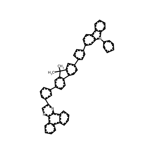 CC1(C)c2cc(-c3ccc(-c4ccc5c6ccccc6n(-c6ccccc6)c5c4)cc3)ccc2-c2ccc(-c3cccc(-c4cnc5c6ccccc6c6ccccc6c5n4)c3)cc21